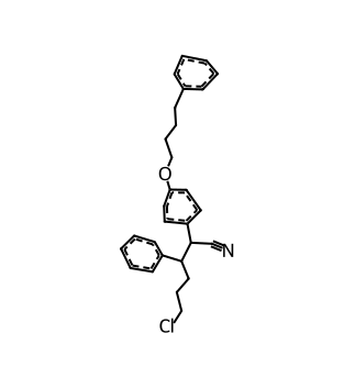 N#CC(c1ccc(OCCCCc2ccccc2)cc1)C(CCCCl)c1ccccc1